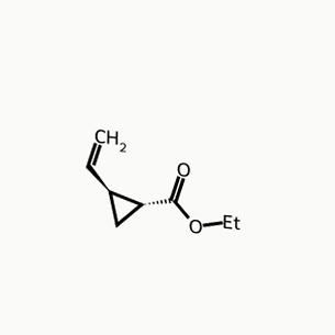 C=C[C@@H]1C[C@H]1C(=O)OCC